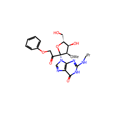 CO[C@@H]1[C@H](O)[C@@H](CO)O[C@@]1(C(=O)COc1ccccc1)n1cnc2c(=O)[nH]c(NC(C)C)nc21